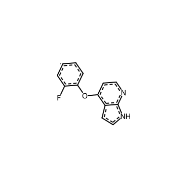 Fc1c[c]ccc1Oc1ccnc2[nH]ccc12